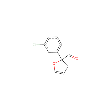 O=CC1(c2cccc(Cl)c2)CC=CO1